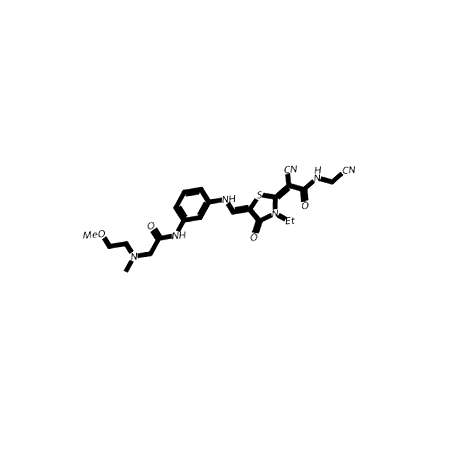 CCn1c(=C(C#N)C(=O)NCC#N)sc(=CNc2cccc(NC(=O)CN(C)CCOC)c2)c1=O